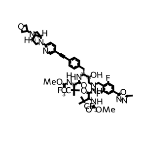 COC(=O)N[C@H](C(=O)N[C@@H](Cc1ccc(C#Cc2ccc(N3C[C@H]4C[C@@H]3CN4C3COC3)nc2)cc1)[C@@H](O)CN(Cc1c(F)cc(-c2nnc(C)o2)cc1F)NC(=O)[C@@H](NC(=O)OC)C(C)(C)C(F)(F)F)C(C)(C)C(F)(F)F